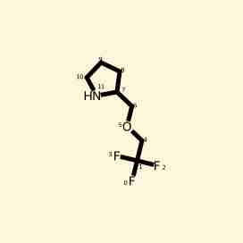 FC(F)(F)COCC1CCCN1